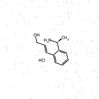 C[C@H](N)c1ccccc1/C=C/CO.Cl